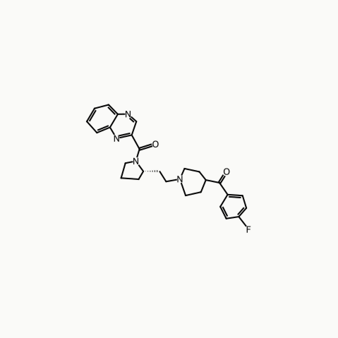 O=C(c1ccc(F)cc1)C1CCN(CC[C@@H]2CCCN2C(=O)c2cnc3ccccc3n2)CC1